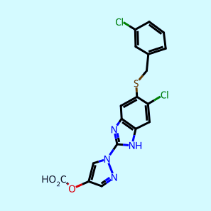 O=C(O)Oc1cnn(-c2nc3cc(SCc4cccc(Cl)c4)c(Cl)cc3[nH]2)c1